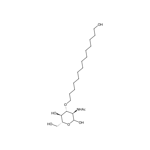 CC(=O)N[C@H]1C(O)O[C@H](CO)[C@@H](O)[C@@H]1OCCCCCCCCCCCCCCO